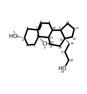 C[C@]12CC[C@H](O)CC1=CCC1C3CCC[C@@]3(CCCO)CCC12